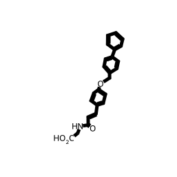 O=C(O)CNC(=O)/C=C/c1ccc(OCc2ccc(-c3ccccc3)cc2)cc1